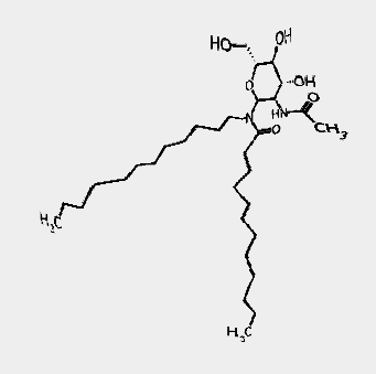 CCCCCCCCCCCCN(C(=O)CCCCCCCCCCC)C1O[C@H](CO)[C@@H](O)[C@H](O)[C@H]1NC(C)=O